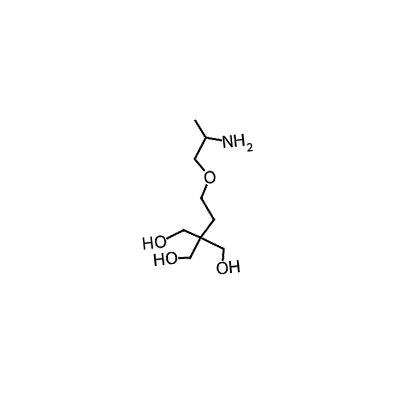 CC(N)COCCC(CO)(CO)CO